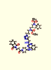 CC(C)(C)OC(=O)N(CCCN(C(=O)OC(C)(C)C)C1CCCCC1)CCCn1cc(CNc2nc(NC3CCN(C(=O)CCN4C(=O)c5ccccc5C4=O)CC3)c3ccccc3n2)nn1